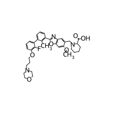 COc1cc2oc(-c3cccc(-c4cccc(OCCCN5CCOCC5)c4F)c3C)nc2cc1CN1CCCCC1C(=O)O